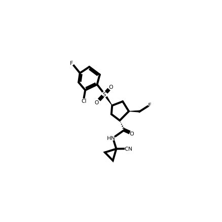 N#CC1(NC(=O)[C@@H]2C[C@@H](S(=O)(=O)c3ccc(F)cc3Cl)C[C@H]2CF)CC1